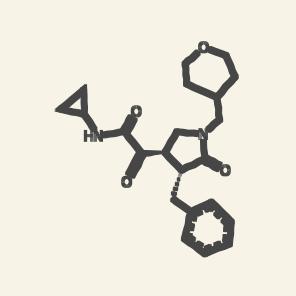 O=C(NC1CC1)C(=O)[C@H]1CN(CC2CCOCC2)C(=O)[C@@H]1Cc1ccccc1